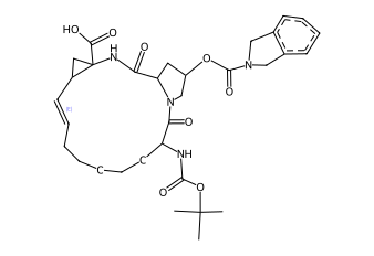 CC(C)(C)OC(=O)NC1CCCCC/C=C/C2CC2(C(=O)O)NC(=O)C2CC(OC(=O)N3Cc4ccccc4C3)CN2C1=O